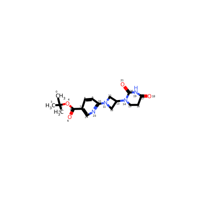 CC(C)(C)OC(=O)c1ccc(N2CC(N3CCC(=O)NC3=O)C2)nc1